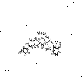 COc1cc(OC)cc(N(CC#Cc2cncc(Cl)n2)c2ccc3ncc(-c4ccn(C)c4)nc3c2)c1